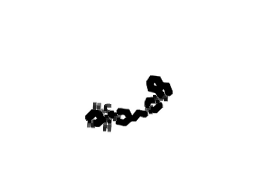 C=C(Nc1cccnc1)N1CCC(CCCN2CCN(c3nccc4ccccc34)CC2)CC1